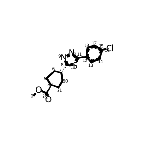 COC(=O)[C@H]1CC[C@H](c2nnc(-c3ccc(Cl)cc3)s2)CC1